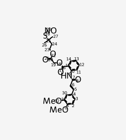 COc1ccc(C=CC(=O)Nc2ccccc2C(=O)OCC(=O)OCCC(C)(C)SN=O)cc1OC